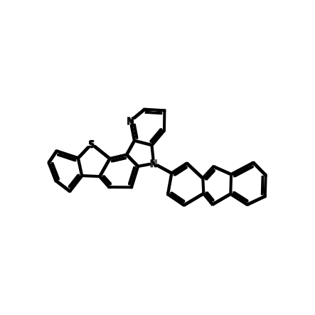 c1ccc2cc3cc(-n4c5cccnc5c5c6sc7ccccc7c6ccc54)ccc3cc2c1